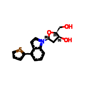 OC[C@H]1O[C@@H](n2ccc3c(-c4cccs4)cccc32)C[C@@H]1O